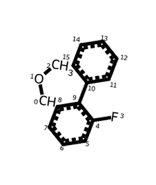 COC.Fc1ccccc1-c1ccccc1